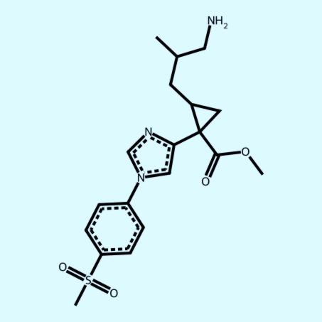 COC(=O)C1(c2cn(-c3ccc(S(C)(=O)=O)cc3)cn2)CC1CC(C)CN